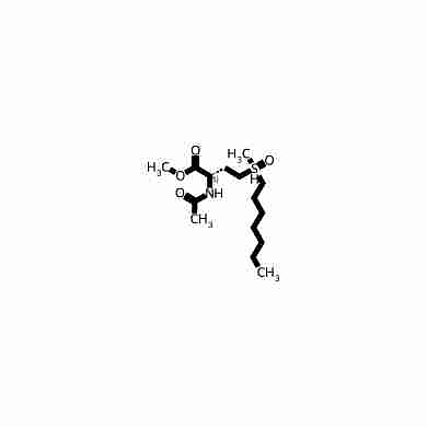 CCCCCCC[SH](C)(=O)CC[C@H](NC(C)=O)C(=O)OC